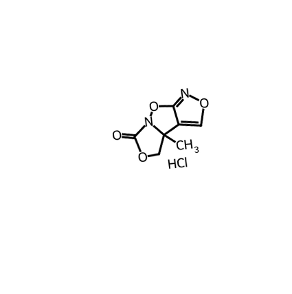 CC12COC(=O)N1Oc1nocc12.Cl